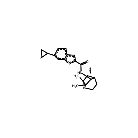 CC1(C)[C@@H](NC(=O)c2cc3ccc(C4CC4)cc3s2)C2CCN1CC2